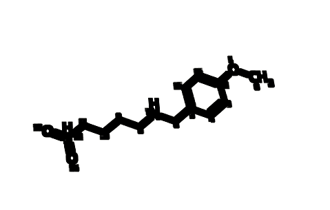 COc1ccc(CNCCCC[SH](=O)=O)cc1